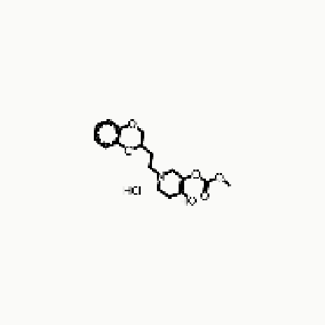 COC(=O)OC1=C(O)CCN(CCC2COc3ccccc3O2)C1.Cl